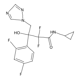 O=C(NC1CC1)C(F)(F)C(O)(Cn1cncn1)c1ccc(F)cc1F